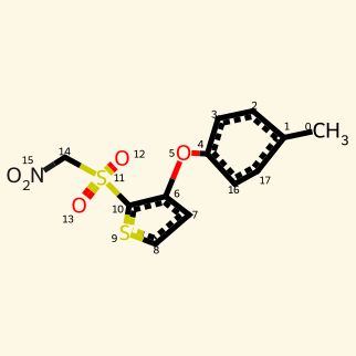 Cc1ccc(Oc2ccsc2S(=O)(=O)C[N+](=O)[O-])cc1